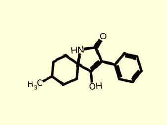 CC1CCC2(CC1)NC(=O)C(c1ccccc1)=C2O